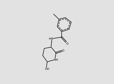 Cc1cccc(C(=O)NC2CCC(O)NC2=O)c1